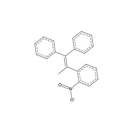 CC(=C(c1ccccc1)c1ccccc1)c1ccccc1[N+](=O)[O-]